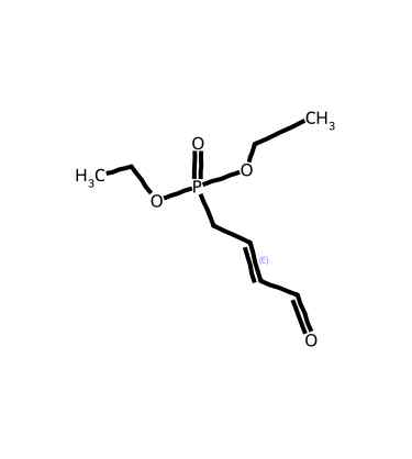 CCOP(=O)(C/C=C/C=O)OCC